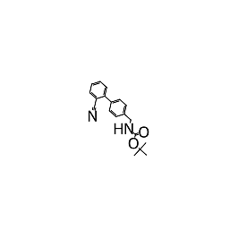 CC(C)(C)OC(=O)NCc1ccc(-c2ccccc2C#N)cc1